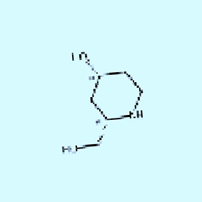 OC[C@@H]1C[C@H](O)CCN1